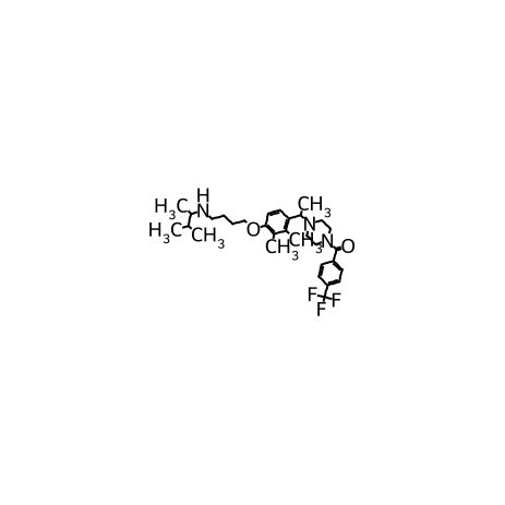 Cc1c(OCCCCNC(C)C(C)C)ccc(C(C)N2CCN(C(=O)c3ccc(C(F)(F)F)cc3)CC2)c1C